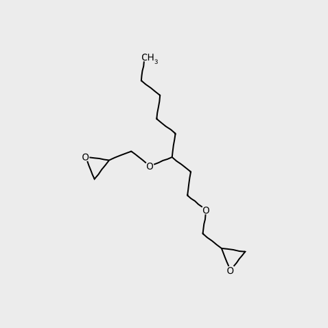 CCCCCC(CCOCC1CO1)OCC1CO1